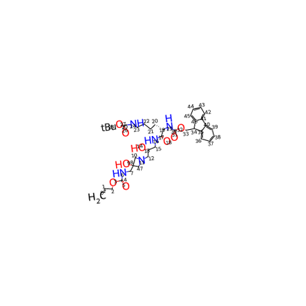 C=CCOC(=O)NCC1(O)CN(C[C@H](O)CNC(=O)[C@H](CCCCNC(=O)OC(C)(C)C)NC(=O)OCC2c3ccccc3-c3ccccc32)C1